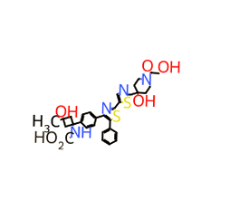 CC1(O)CC(NC(=O)O)(c2ccc(-c3nc(-c4cnc(C5(O)CCN(C(=O)CO)CC5)s4)sc3-c3ccccc3)cc2)C1